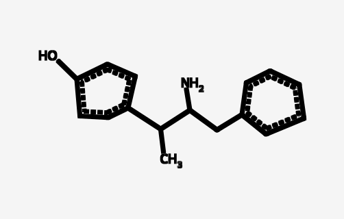 CC(c1ccc(O)cc1)C(N)Cc1ccccc1